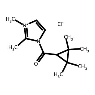 Cc1n(C(=O)C2C(C)(C)C2(C)C)cc[n+]1C.[Cl-]